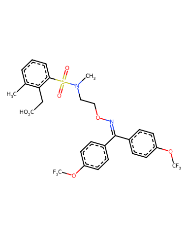 Cc1cccc(S(=O)(=O)N(C)CCON=C(c2ccc(OC(F)(F)F)cc2)c2ccc(OC(F)(F)F)cc2)c1CC(=O)O